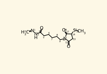 C=NNC(=O)CCCCCN1C(=O)CC(SC)C1=O